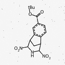 CC(C)(C)OC(=O)c1ccc2c(c1)C1CC2C([N+](=O)[O-])NC1[N+](=O)[O-]